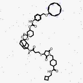 CN(C(=O)CCSC1CC(=O)N(CC2CCC(C(=O)NCC3CCC3)CC2)C1=O)C12CC3CC(C1)C1(OO[C@@]4(CCCC(OC(=O)Nc5ccc(COC6=C/C=C\C=C/C=C\C=C/C=C\6)cc5)C4)O1)C(C3)C2